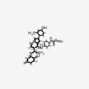 Cc1cc(O)ccc1-c1cc2c(N[C@H]3CC[C@H](NC(=O)OC(C)(C)C)CC3)c(/C(N)=N/c3cc(F)ccc3Cl)cnn2c1